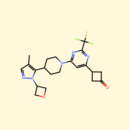 Cc1cnn(C2COC2)c1C1CCN(c2cc(C3CC(=O)C3)nc(C(F)(F)F)n2)CC1